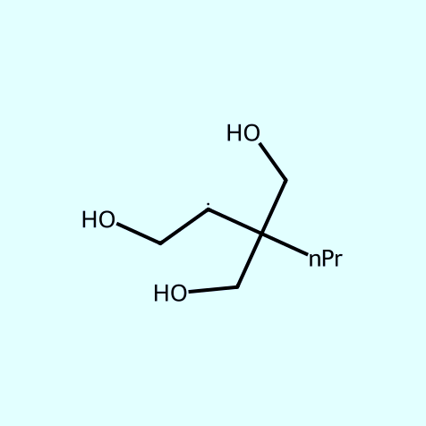 CCCC([CH]CO)(CO)CO